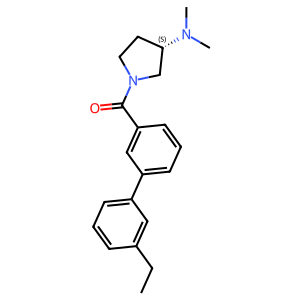 CCc1cccc(-c2cccc(C(=O)N3CC[C@H](N(C)C)C3)c2)c1